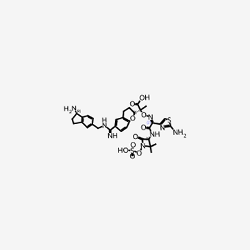 CC(O/N=C(\C(=O)N[C@@H]1C(=O)N(OS(=O)(=O)O)C1(C)C)c1csc(N)n1)(C(=O)O)[C@H]1CCc2cc(C(=N)NCc3ccc4c(c3)CC[C@H]4N)ccc2O1